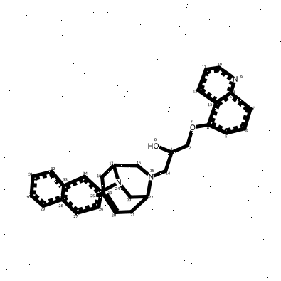 OC(COc1cccc2ncccc12)CN1CC2C/C=C\CC1CN2c1ccc2ccccc2c1